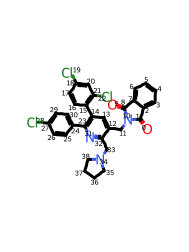 O=C1c2ccccc2C(=O)N1Cc1cc(-c2ccc(Cl)cc2Cl)c(-c2ccc(Cl)cc2)nc1CN1CCCC1